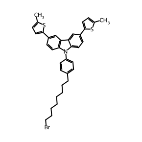 Cc1ccc(-c2ccc3c(c2)c2cc(-c4ccc(C)s4)ccc2n3-c2ccc(CCCCCCCCBr)cc2)s1